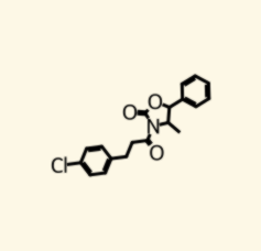 CC1C(c2ccccc2)OC(=O)N1C(=O)CCc1ccc(Cl)cc1